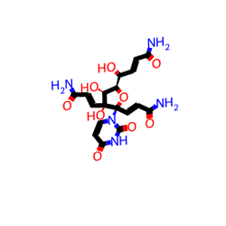 NC(=O)C=CC(O)[C@H]1O[C@@](C=CC(N)=O)(n2ccc(=O)[nH]c2=O)[C@@](O)(C=CC(N)=O)[C@@H]1O